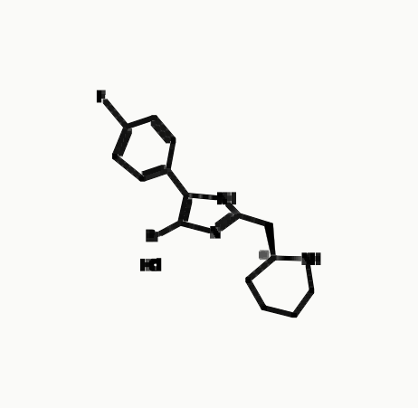 Cl.Fc1ccc(-c2[nH]c(C[C@@H]3CCCCN3)nc2Br)cc1